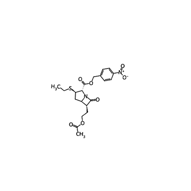 CCS[C@@H]1CC2[C@H](CCOC(C)=O)C(=O)N2[C@H]1C(=O)OCc1ccc([N+](=O)[O-])cc1